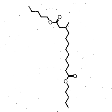 CCCCCOC(=O)CCCCCCCCC(C)CC(=O)OCCCCC